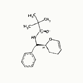 CC(C)(C)[S@@+]([O-])NC(c1ccccc1)[C@@H]1CCC=CO1